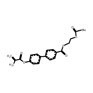 C=C(C)C(=O)Oc1ccc(-c2ccc(C(=O)OCCOC(=O)C(C)(C)C)cc2)cc1